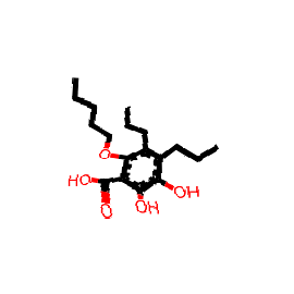 CCCCCOc1c(CCC)c(CCC)c(O)c(O)c1C(=O)O